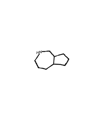 [CH]1NCCCC2CCCC12